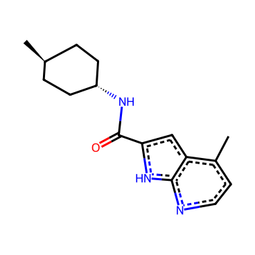 Cc1ccnc2[nH]c(C(=O)N[C@H]3CC[C@H](C)CC3)cc12